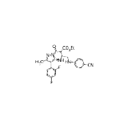 CCOC(=O)c1c(CNc2ccc(C#N)cc2)[nH]c2c(-c3ccc(F)cc3F)c(C)nn2c1=O